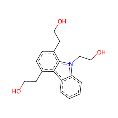 OCCc1ccc(CCO)c2c1c1ccccc1n2CCO